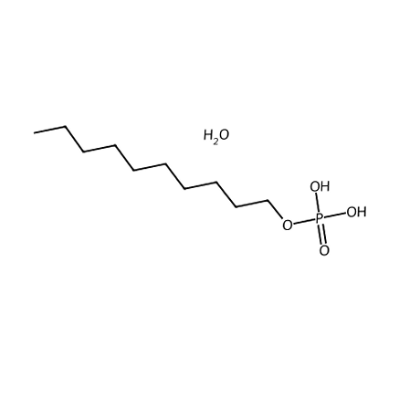 CCCCCCCCCCOP(=O)(O)O.O